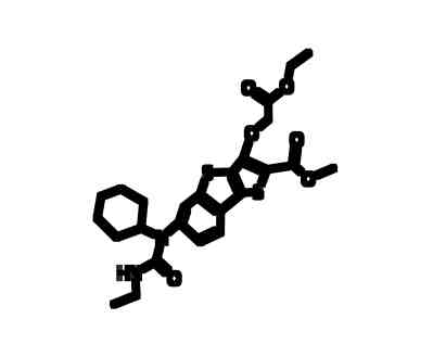 CCNC(=O)N(c1ccc2c(c1)sc1c(OCC(=O)OCC)c(C(=O)OC)sc12)C1CCCCC1